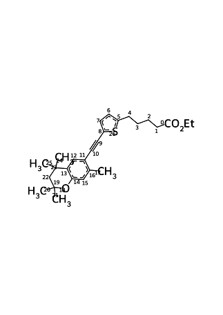 CCOC(=O)CCCCc1ccc(C#Cc2cc3c(cc2C)OC(C)(C)CC3(C)C)s1